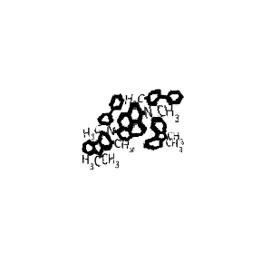 Cc1ccc(-c2ccccc2)cc1N(c1cc2c(cc1C)C(C)(C)c1ccccc1-2)c1ccc2ccc3c(N(c4cc(-c5ccccc5)ccc4C)c4cc5c(cc4C)C(C)(C)c4ccccc4-5)ccc4ccc1c2c43